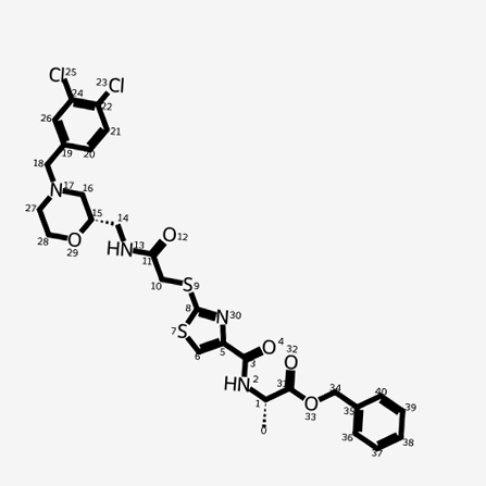 C[C@H](NC(=O)c1csc(SCC(=O)NC[C@H]2CN(Cc3ccc(Cl)c(Cl)c3)CCO2)n1)C(=O)OCc1ccccc1